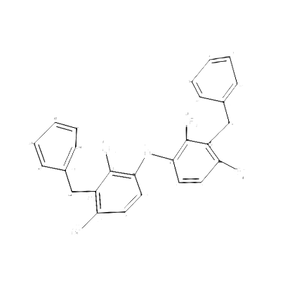 FC(F)(F)c1c(Oc2ccc(Br)c(Cc3ccccc3)c2C(F)(F)F)ccc(Br)c1Cc1ccccc1